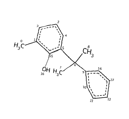 Cc1cccc(C(C)(C)c2ccccc2)c1O